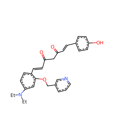 CCN(CC)c1ccc(/C=C/C(=O)CC(=O)/C=C/c2ccc(O)cc2)c(OCc2cccnc2)c1